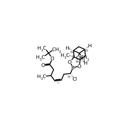 CC(/C=C\C[C@@H](Cl)B1O[C@@H]2C[C@@H]3C[C@@H](C3(C)C)[C@]2(C)O1)CC(=O)OC(C)(C)C